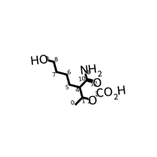 CC(OC(=O)O)C(CCCCO)C(N)=O